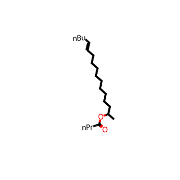 CCCC/C=C/CCCCCCCCCC(C)OC(=O)CCC